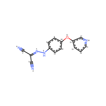 N#CC(C#N)=NNc1ccc(Oc2cccnc2)cc1